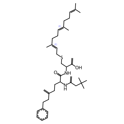 C=C(CCc1ccccc1)CCC(NC(=C)CC(C)(C)C)C(=O)NC(CSC/C=C(\C)CC/C=C(\C)CCC=C(C)C)C(=C)O